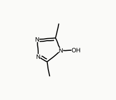 Cc1nnc(C)n1O